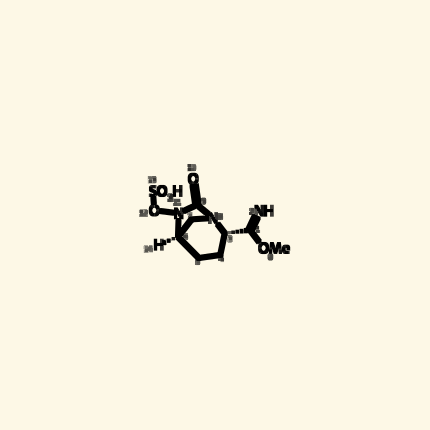 COC(=N)[C@@H]1CC[C@@H]2CN1C(=O)N2OS(=O)(=O)O